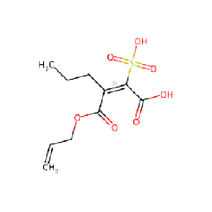 C=CCOC(=O)/C(CCC)=C(\C(=O)O)S(=O)(=O)O